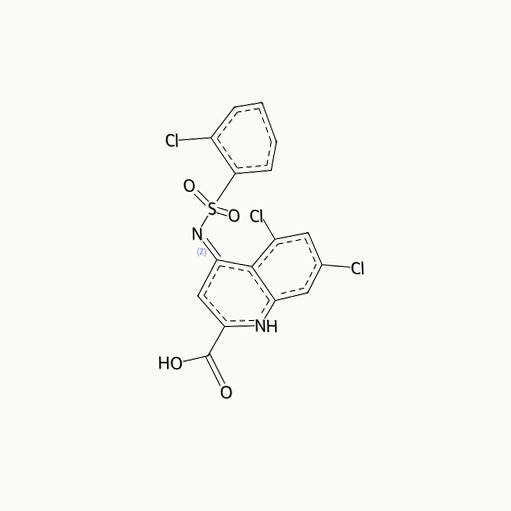 O=C(O)c1c/c(=N/S(=O)(=O)c2ccccc2Cl)c2c(Cl)cc(Cl)cc2[nH]1